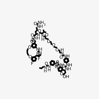 CCCNC(=O)Nc1cccc(S(=O)(=O)Nc2cccc(C(CC(=O)O)NC(=O)Nc3ccc(NC(=O)NCCOCCOCCOCCC(=O)NC(C(=O)NC(CCCNC(N)=O)C(=O)N=S(C)(=O)Cc4cc5cc(c4)OCCCCOc4cc(F)ccc4-c4nc(ncc4F)N5)C(C)C)cc3)c2)c1